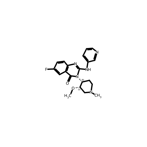 CO[C@H]1CN(C)CC[C@H]1n1c(Nc2cccnc2)nc2ccc(F)cc2c1=O